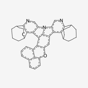 c1cc2cccc3c2c(c1)oc1cc2c4c5c(ncc4n4c6cnc7c(c6c(c13)c24)C1CCCC7CCC1)C1CCCC5CCC1